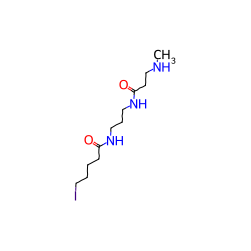 CNCCC(=O)NCCCNC(=O)CCCCI